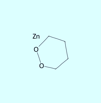 C1CCOOC1.[Zn]